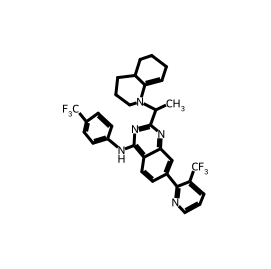 CC(c1nc(Nc2ccc(C(F)(F)F)cc2)c2ccc(-c3ncccc3C(F)(F)F)cc2n1)N1CCCC2CCCC=C21